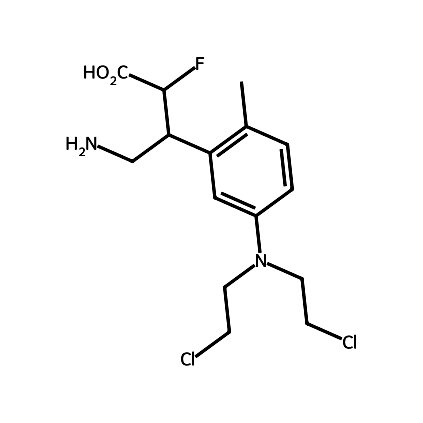 Cc1ccc(N(CCCl)CCCl)cc1C(CN)C(F)C(=O)O